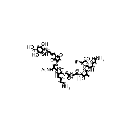 CC(=O)NC(CSC1CC(=O)N(CCCCN[C@H]2C(O)C[C@H](CO)[C@@H](O)[C@@H]2O)C1=O)C(=O)NC(CCCCN)C(=O)NCC(=O)NCC(=O)NCC(=O)C(C)C(=O)NC(CCCCN)C(=O)NC(CC(C)C)C(=O)O